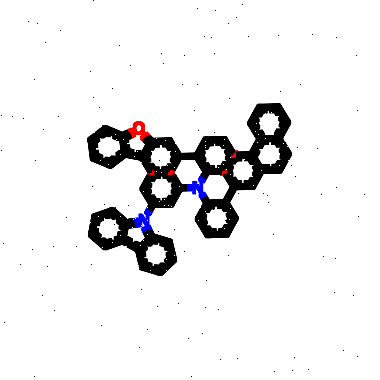 c1cc(N(c2ccccc2-c2ccc3c(ccc4ccccc43)c2)c2ccccc2-c2ccc3c(c2)oc2ccccc23)cc(-n2c3ccccc3c3ccccc32)c1